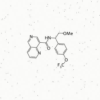 COCC(NC(=O)c1cncc2cccnc12)c1ccc(OC(F)(F)F)cc1